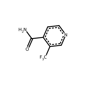 NC(=O)c1ccncc1C(F)(F)F